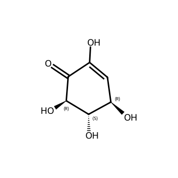 O=C1C(O)=C[C@@H](O)[C@H](O)[C@H]1O